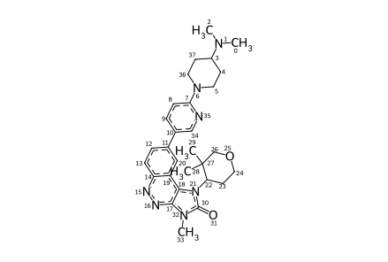 CN(C)C1CCN(c2ccc(-c3ccc4nnc5c(c4c3)n(C3CCOCC3(C)C)c(=O)n5C)cn2)CC1